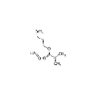 C=C(C)C(=O)OCCC[SiH3].[O]=[AlH]